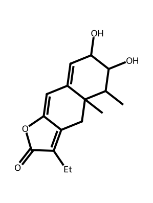 CCC1=C2CC3(C)C(=CC(O)C(O)C3C)C=C2OC1=O